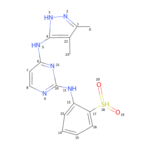 Cc1n[nH]c(Nc2ccnc(Nc3ccccc3[SH](=O)=O)n2)c1C